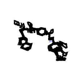 CSc1ccc(/C=C/C(=O)N2CCC(C(=O)NC(Cc3cnc4ccccc4c3)C(=O)O)CC2)c(Cl)c1Cl